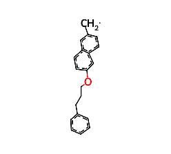 [CH2]c1ccc2cc(OCCCc3ccccc3)ccc2c1